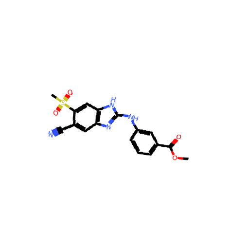 COC(=O)c1cccc(Nc2nc3cc(C#N)c(S(C)(=O)=O)cc3[nH]2)c1